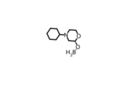 BO[C@H]1CN(C2CCCCC2)CCO1